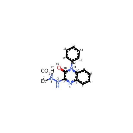 CCN(Nc1nc2ccccc2n(-c2ccccc2)c1=O)C(=O)O